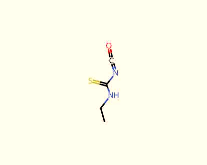 CCNC(=S)N=C=O